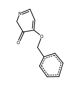 O=C1CN=CC=C1OCc1ccccc1